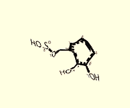 O=S(=O)(O)Oc1cccc(O)c1O